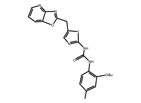 Cc1ccc(NC(=O)Nc2ncc(Cc3nc4ncccc4o3)s2)c(OCC(C)C)c1